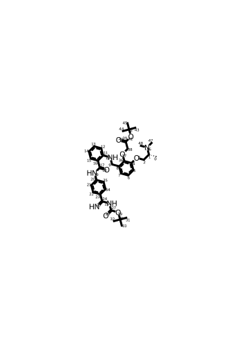 C[C@H](COc1cccc(CNc2ccccc2C(=O)Nc2ccc(C(=N)NC(=O)OC(C)(C)C)cc2)c1OCC(=O)OC(C)(C)C)N(C)C